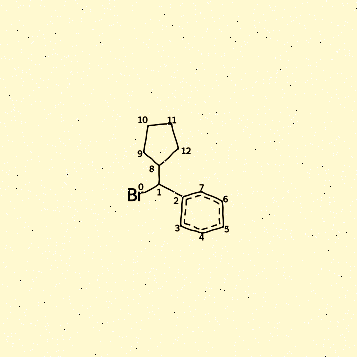 BrC(c1ccccc1)C1CCCC1